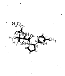 COC(=O)N[C@](N)(C(=O)N1CCC[C@H]1c1ncc(C)[nH]1)C(C)(C)C